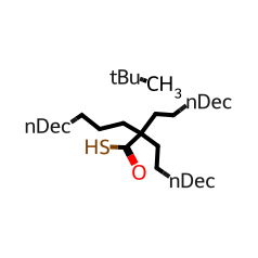 CC(C)(C)C.CCCCCCCCCCCCCC(CCCCCCCCCCCC)(CCCCCCCCCCCC)C(=O)S